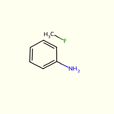 CF.Nc1ccccc1